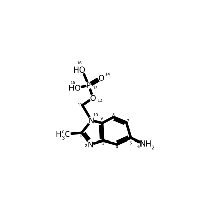 Cc1nc2cc(N)ccc2n1COP(=O)(O)O